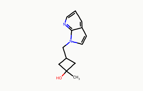 CC1(O)CC(Cn2ccc3cccnc32)C1